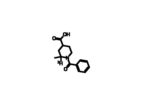 [2H]C1(C)CC(C(=O)O)CCN1C(=O)c1ccccc1